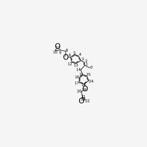 CC(=Cc1ccc(OCC2CO2)cc1)Cc1ccc(OCC2CO2)cc1